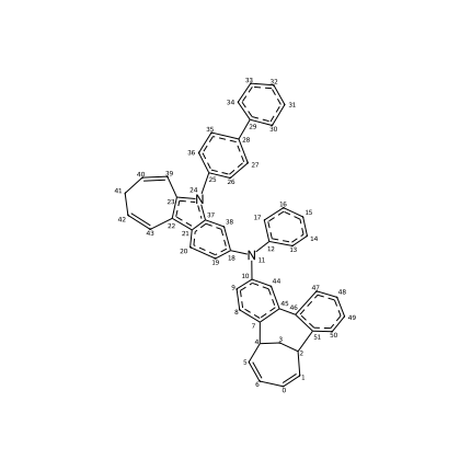 C1=CC2CC(C=C1)c1ccc(N(c3ccccc3)c3ccc4c5c(n(-c6ccc(-c7ccccc7)cc6)c4c3)C=CCC=C5)cc1-c1ccccc12